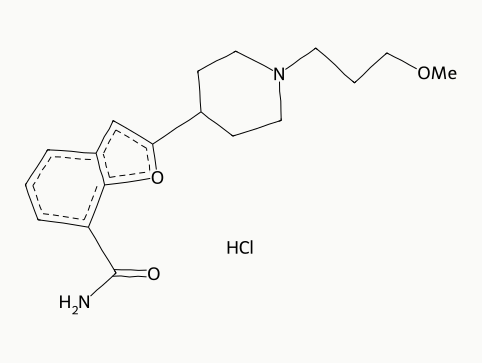 COCCCN1CCC(c2cc3cccc(C(N)=O)c3o2)CC1.Cl